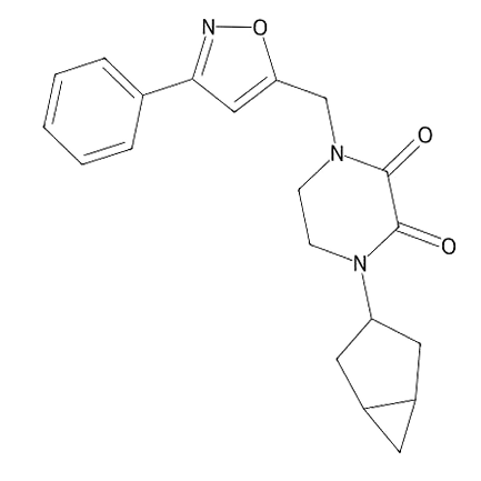 O=C1C(=O)N(C2CC3CC3C2)CCN1Cc1cc(-c2ccccc2)no1